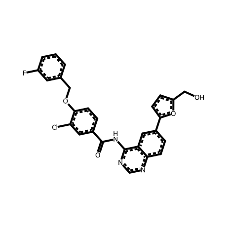 O=C(Nc1ncnc2ccc(-c3ccc(CO)o3)cc12)c1ccc(OCc2cccc(F)c2)c(Cl)c1